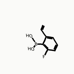 C=Cc1cccc(F)c1B(O)O